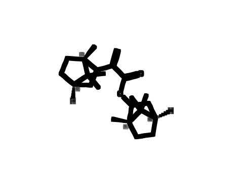 C=C(C(=O)OC1C[C@H]2CC[C@@]1(C)C2(C)C)C1C[C@H]2CC[C@@]1(C)C2(C)C